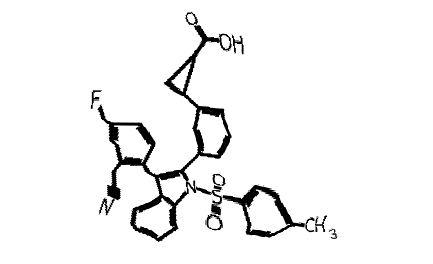 Cc1ccc(S(=O)(=O)n2c(-c3cccc(C4CC4C(=O)O)c3)c(-c3ccc(F)cc3C#N)c3ccccc32)cc1